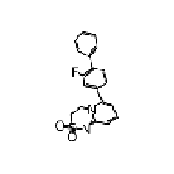 O=S1(=O)CCN2C(c3ccc(-c4ccccc4)c(F)c3)=CC=CC2=N1